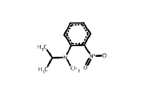 CC(C)N(C)c1ccccc1[N+](=O)[O-]